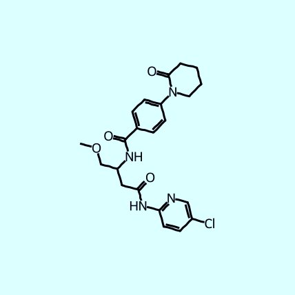 COCC(CC(=O)Nc1ccc(Cl)cn1)NC(=O)c1ccc(N2CCCCC2=O)cc1